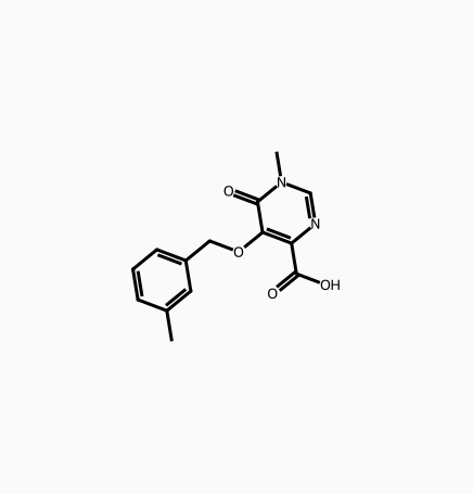 Cc1cccc(COc2c(C(=O)O)ncn(C)c2=O)c1